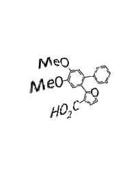 COc1cc(-c2ccccc2)c(-c2occc2C(=O)O)cc1OC